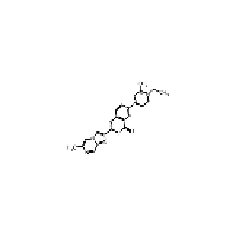 CCN1CCN(c2ccc3cc(-c4cn5cc(C)ncc5n4)sc(=O)c3c2)C[C@H]1C